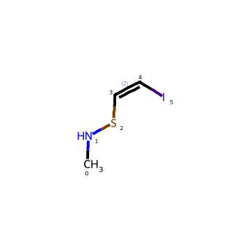 CNS/C=C\I